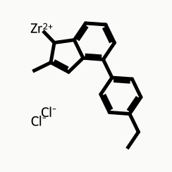 CCc1ccc(-c2cccc3c2C=C(C)[CH]3[Zr+2])cc1.[Cl-].[Cl-]